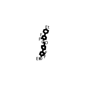 CCOc1ccc(-c2ccc(C(=O)Oc3ccc(C4CCC(CC)CC4)c(F)c3F)cc2)c(F)c1F